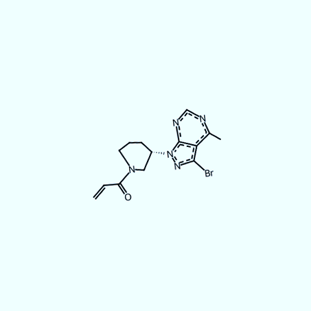 C=CC(=O)N1CCC[C@H](n2nc(Br)c3c(C)ncnc32)C1